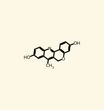 Cc1c2c(nc3ccc(O)cc13)-c1ccc(O)cc1OC2